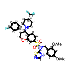 COc1ccc(CN(c2ncns2)S(=O)(=O)c2ccc3c(c2)OCC[C@H]3N2CC[C@@H](C(F)F)C[C@H]2c2ccc(F)cc2)c(OC)c1